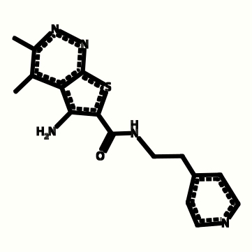 Cc1nnc2sc(C(=O)NCCc3ccncc3)c(N)c2c1C